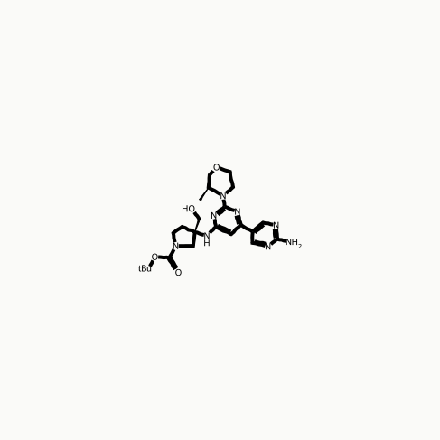 C[C@H]1COCCN1c1nc(N[C@@]2(CO)CCN(C(=O)OC(C)(C)C)C2)cc(-c2cnc(N)nc2)n1